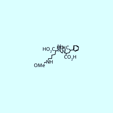 COCNCCCCC(NCNC(CC(C(=O)O)c1ccccc1)C(=O)O)C(=O)O